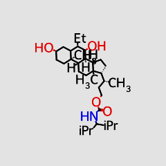 CC[C@@H]1C2C[C@H](O)CC[C@]2(C)[C@H]2CCC3(C)[C@@H]([C@H](C)CCOC(=O)NC(C(C)C)C(C)C)CC[C@H]3[C@@H]2[C@@H]1O